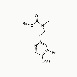 COc1cnc(CCN(C)C(=O)OC(C)(C)C)cc1Br